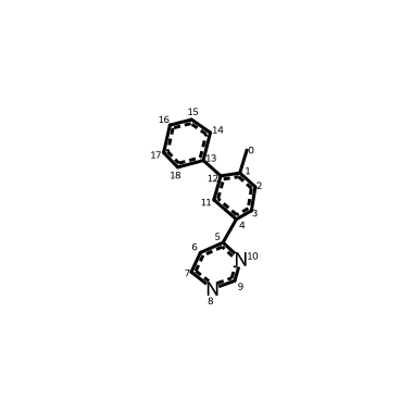 Cc1ccc(-c2ccncn2)cc1-c1ccccc1